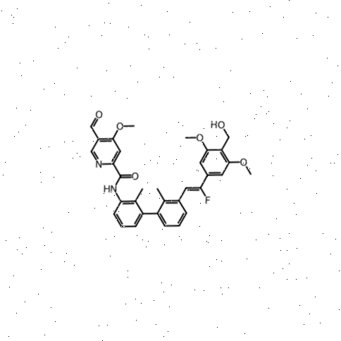 COc1cc(C(=O)Nc2cccc(-c3cccc(/C=C(\F)c4cc(OC)c(CO)c(OC)c4)c3C)c2C)ncc1C=O